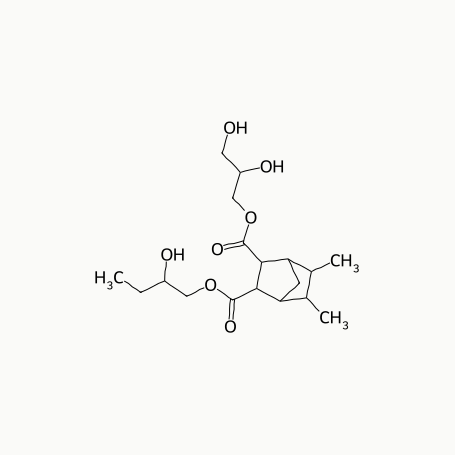 CCC(O)COC(=O)C1C2CC(C(C)C2C)C1C(=O)OCC(O)CO